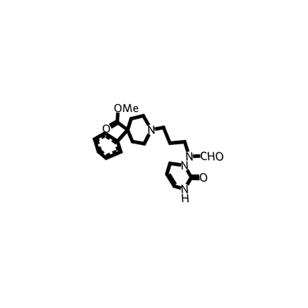 COC(=O)C1(c2ccccc2)CCN(CCCN(C=O)N2CC=CNC2=O)CC1